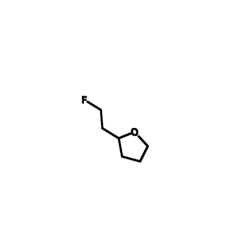 FCCC1CCCO1